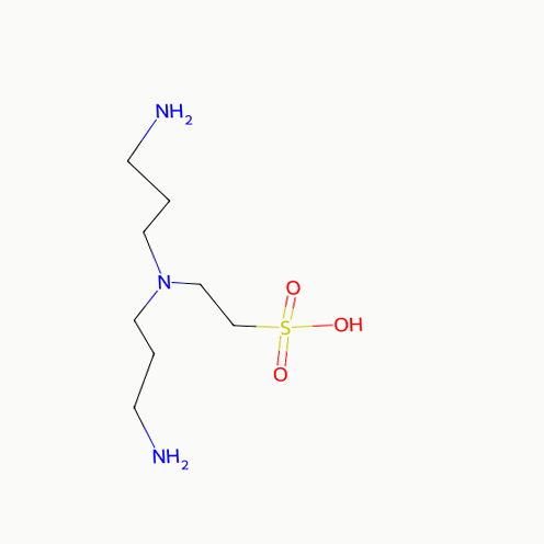 NCCCN(CCCN)CCS(=O)(=O)O